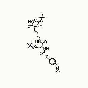 CC(C)(C)OC(=O)NC(CCCCNC(=O)C(CSSC(C)(C)C)NC(=O)OCc1ccc(N=[N+]=[N-])cc1)C(=O)O